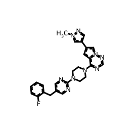 Cn1cc(-c2cc3c(N4CCN(c5ncc(Cc6ccccc6F)cn5)CC4)ncnn3c2)cn1